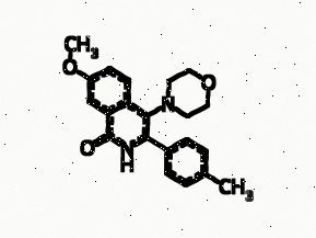 COc1ccc2c(N3CCOCC3)c(-c3ccc(C)cc3)[nH]c(=O)c2c1